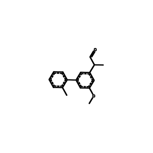 COc1cc(-c2ccccc2C)cc(C(C)C=O)c1